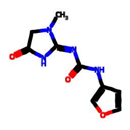 CN1CC(=O)NC1=NC(=O)Nc1ccoc1